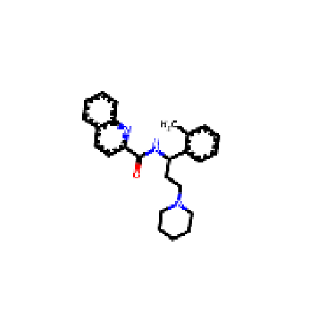 Cc1ccccc1C(CCN1CCCCC1)NC(=O)c1ccc2ccccc2n1